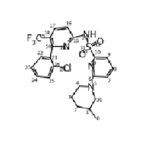 CC1CCCN(c2cccc(S(=O)(=O)Nc3ccc(C(F)(F)F)c(-c4ccccc4Cl)n3)n2)C1